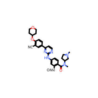 COc1cc(Nc2nccc(-c3ccc(OC4CCOCC4)c(C#N)c3)n2)ccc1C(=O)N(C)C1CCN(C)C1